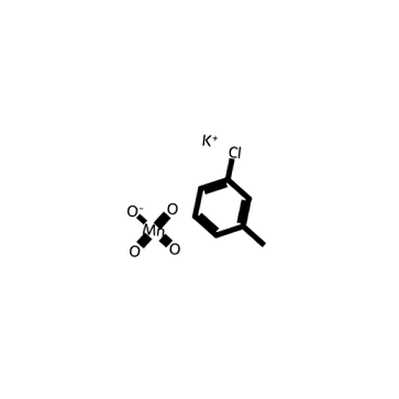 Cc1cccc(Cl)c1.[K+].[O]=[Mn](=[O])(=[O])[O-]